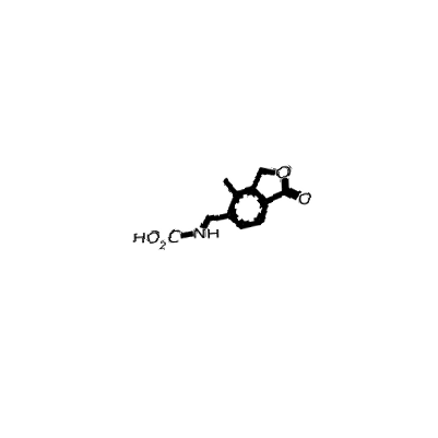 Cc1c(CNC(=O)O)ccc2c1COC2=O